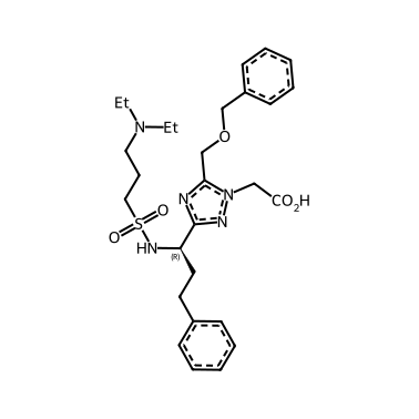 CCN(CC)CCCS(=O)(=O)N[C@H](CCc1ccccc1)c1nc(COCc2ccccc2)n(CC(=O)O)n1